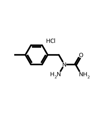 Cc1ccc(CN(N)C(N)=O)cc1.Cl